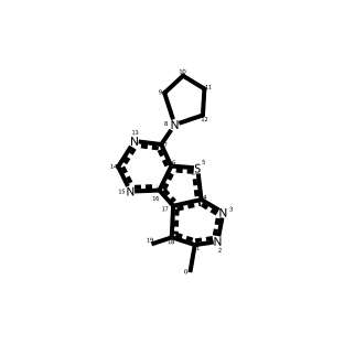 Cc1nnc2sc3c(N4CCCC4)ncnc3c2c1C